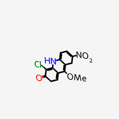 COC1=C2CC([N+](=O)[O-])=CC=C2NC2=C(Cl)C(=O)CC=C21